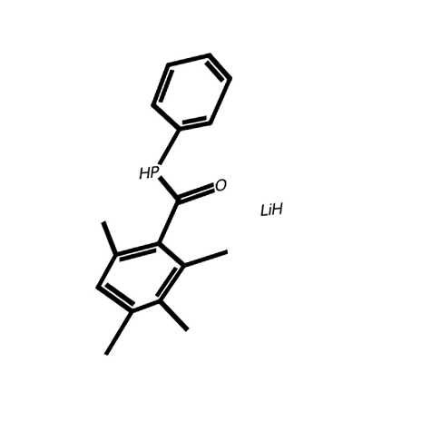 Cc1cc(C)c(C(=O)Pc2ccccc2)c(C)c1C.[LiH]